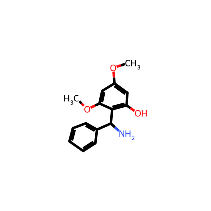 COc1cc(O)c(C(N)c2ccccc2)c(OC)c1